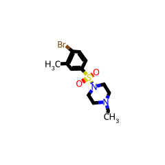 CCN1CCN(S(=O)(=O)c2ccc(Br)c(C)c2)CC1